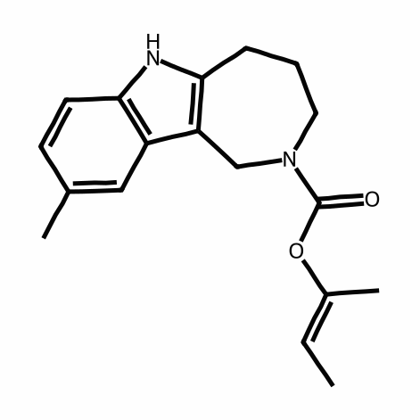 C/C=C(\C)OC(=O)N1CCCc2[nH]c3ccc(C)cc3c2C1